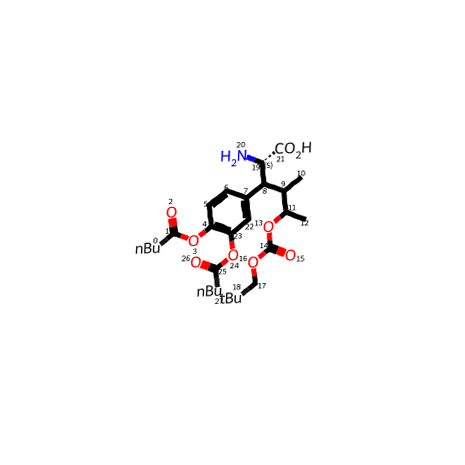 CCCCC(=O)Oc1ccc(C(C(C)C(C)OC(=O)OCC(C)(C)C)[C@H](N)C(=O)O)cc1OC(=O)CCCC